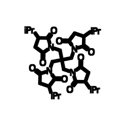 CC(C)C1CC(=O)N(CC(CN2C(=O)CC(C(C)C)C2=O)(CN2C(=O)CC(C(C)C)C2=O)CN2C(=O)CC(C(C)C)C2=O)C1=O